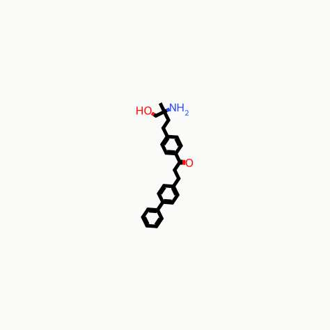 CC(N)(CO)CCc1ccc(C(=O)CCc2ccc(-c3ccccc3)cc2)cc1